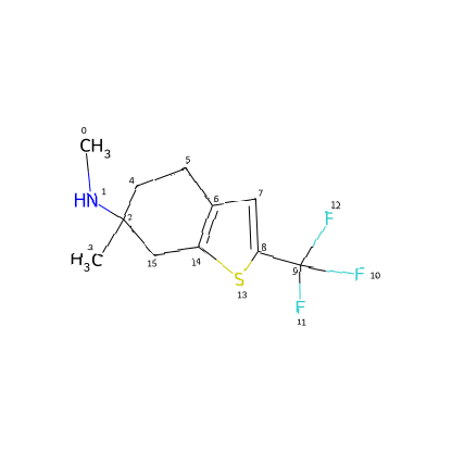 CNC1(C)CCc2cc(C(F)(F)F)sc2C1